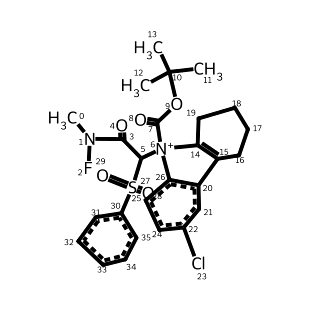 CN(F)C(=O)C([N+]1(C(=O)OC(C)(C)C)C2=C(CCCC2)c2cc(Cl)ccc21)S(=O)(=O)c1ccccc1